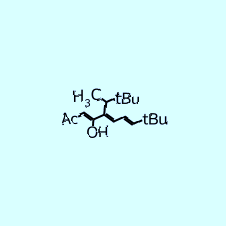 CC(=O)/C=C(O)/C(=C/C=C/C(C)(C)C)C(C)C(C)(C)C